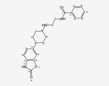 O=C(NCCNC1CCC(c2ccc3[nH]c(=O)oc3c2)CC1)c1ccccc1